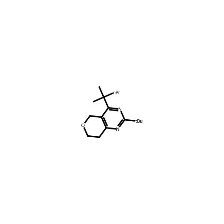 CCCC(C)(C)c1nc(C(C)(C)C)nc2c1COCC2